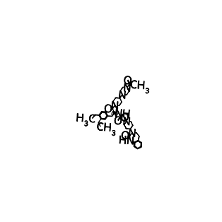 CCc1ccc(C[C@@H](NC(=O)ON2CCC(N3CCc4ccccc4NC3=O)CC2)C(=O)N2CCC(N3CCN(C(C)=O)CC3)CC2)cc1CC